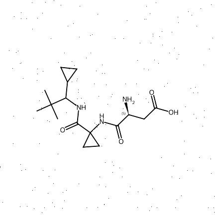 CC(C)(C)C(NC(=O)C1(NC(=O)[C@@H](N)CC(=O)O)CC1)C1CC1